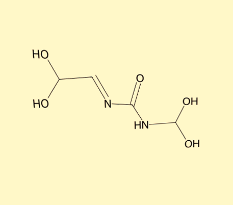 O=C(N=CC(O)O)NC(O)O